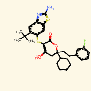 CC(C)(C)c1cc2nc(N)sc2cc1SC1=C(O)C[C@@](CCc2cccc(F)c2)(C2CCCCC2)OC1=O